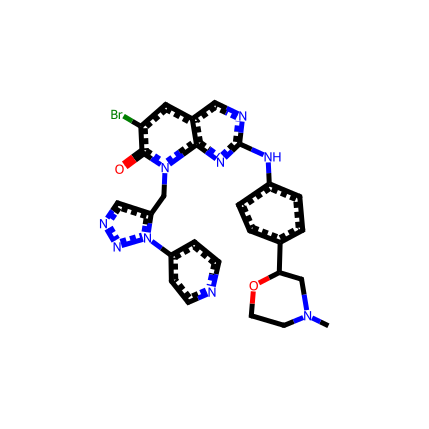 CN1CCOC(c2ccc(Nc3ncc4cc(Br)c(=O)n(Cc5cnnn5-c5ccncc5)c4n3)cc2)C1